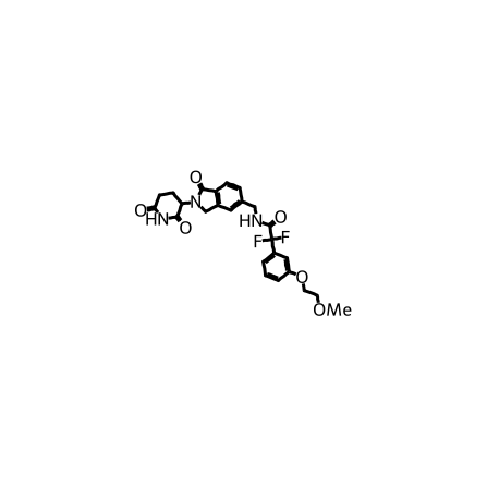 COCCOc1cccc(C(F)(F)C(=O)NCc2ccc3c(c2)CN(C2CCC(=O)NC2=O)C3=O)c1